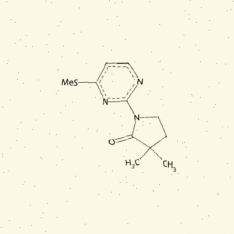 CSc1ccnc(N2CCC(C)(C)C2=O)n1